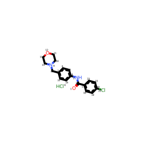 Cl.O=C(Nc1ccc(CN2CCOCC2)cc1)c1ccc(Cl)cc1